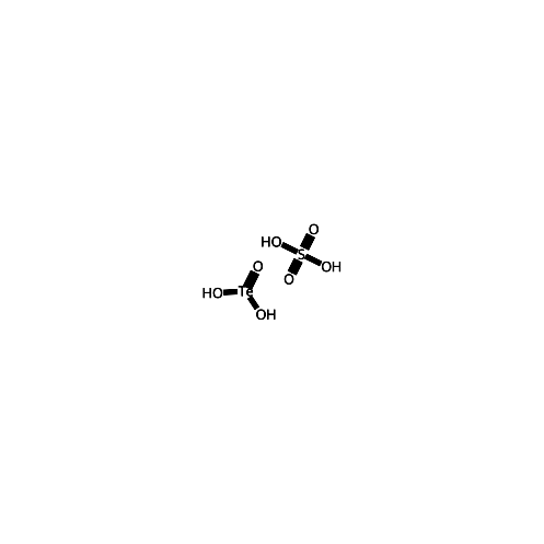 O=S(=O)(O)O.O=[Te](O)O